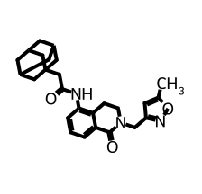 Cc1cc(CN2CCc3c(NC(=O)CC45CC6CC(CC(C6)C4)C5)cccc3C2=O)no1